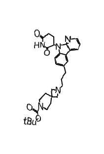 CC(C)(C)OC(=O)N1CCC2(CC1)CN(CCCc1ccc3c(c1)c1cccnc1n3C1CCC(=O)NC1=O)C2